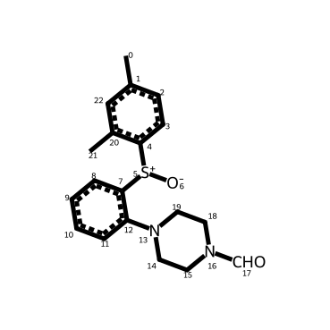 Cc1ccc([S+]([O-])c2ccccc2N2CCN(C=O)CC2)c(C)c1